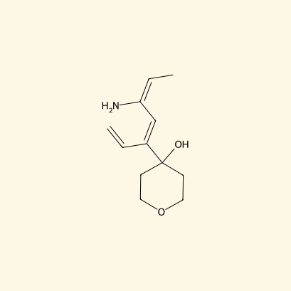 C=C/C(=C\C(N)=C/C)C1(O)CCOCC1